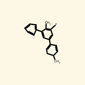 Cc1c(F)cc(C2=CCC(C)C=C2)cc1-c1ccccc1